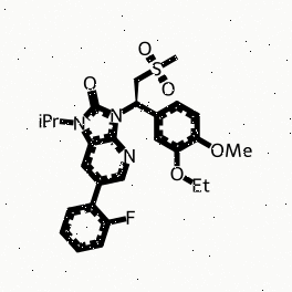 CCOc1cc([C@H](CS(C)(=O)=O)n2c(=O)n(C(C)C)c3cc(-c4ccccc4F)cnc32)ccc1OC